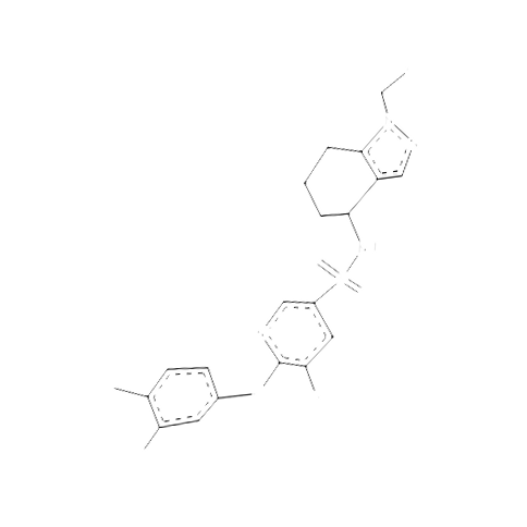 CCOC(=O)Cn1ncc2c1CCCC2NS(=O)(=O)c1cnc(Oc2ccc(F)c(F)c2)c(Br)c1